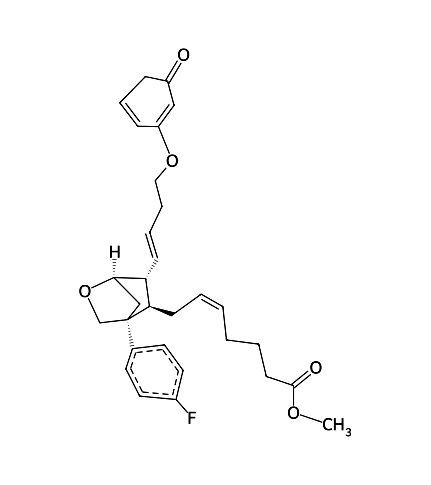 COC(=O)CCC/C=C\C[C@@H]1[C@@H](/C=C/CCOC2=CC(=O)CC=C2)[C@H]2C[C@]1(c1ccc(F)cc1)CO2